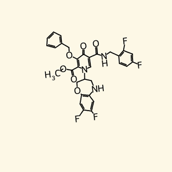 COC(=O)c1c(OCc2ccccc2)c(=O)c(C(=O)NCc2ccc(F)cc2F)cn1C1CNc2cc(F)c(F)cc2OC1